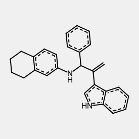 C=C(c1c[nH]c2ccccc12)C(Nc1ccc2c(c1)CCCC2)c1ccccc1